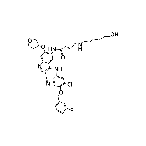 N#Cc1cnc2cc(OC3CCOC3)c(NC(=O)/C=C/CNCCCCCCO)cc2c1Nc1ccc(OCc2cccc(F)c2)c(Cl)c1